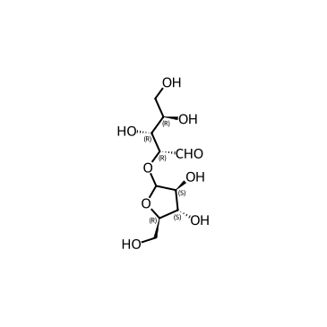 O=C[C@H](OC1O[C@H](CO)[C@@H](O)[C@@H]1O)[C@H](O)[C@H](O)CO